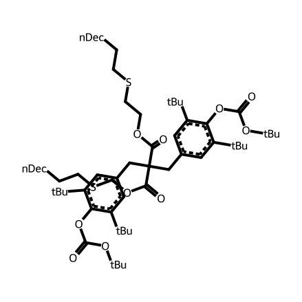 CCCCCCCCCCCCSCCOC(=O)C(Cc1cc(C(C)(C)C)c(OC(=O)OC(C)(C)C)c(C(C)(C)C)c1)(Cc1cc(C(C)(C)C)c(OC(=O)OC(C)(C)C)c(C(C)(C)C)c1)C(=O)OCSCCCCCCCCCCCC